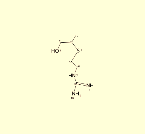 CC(CO)SCCNC(=N)N